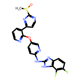 C[S+]([O-])c1nccc(-c2cccnc2Oc2ccc(Nc3nc4ccc(F)c(F)c4[nH]3)nc2)n1